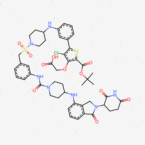 CC(C)(C)OC(=O)c1sc(-c2cccc(NC3CCN(S(=O)(=O)Cc4cccc(NC(=O)N5CCC(Nc6cccc7c6CN(C6CCC(=O)NC6=O)C7=O)CC5)c4)CC3)c2)c(Cl)c1OCC(=O)O